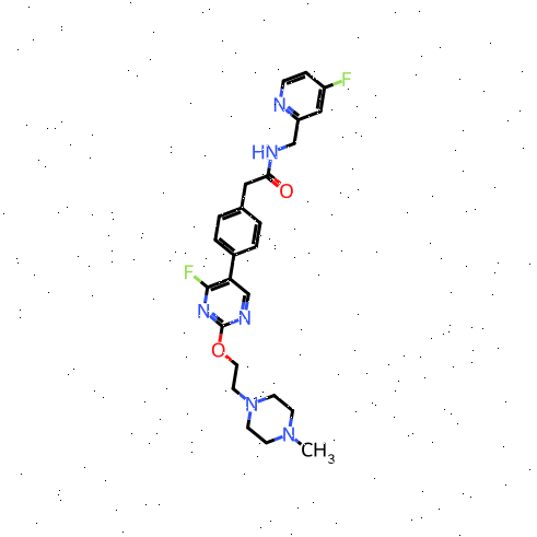 CN1CCN(CCOc2ncc(-c3ccc(CC(=O)NCc4cc(F)ccn4)cc3)c(F)n2)CC1